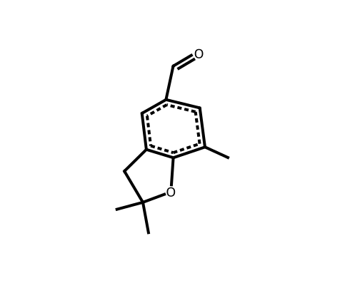 Cc1cc(C=O)cc2c1OC(C)(C)C2